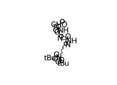 CC1C(c2ccccc2)CC(NC(=O)c2cnc3c(c2)C[C@@]2(C3)C(=O)Nc3ncc(/C=C/CCCCN(C(=O)OC(C)(C)C)C(=O)OC(C)(C)C)cc32)C(=O)N1CC=O